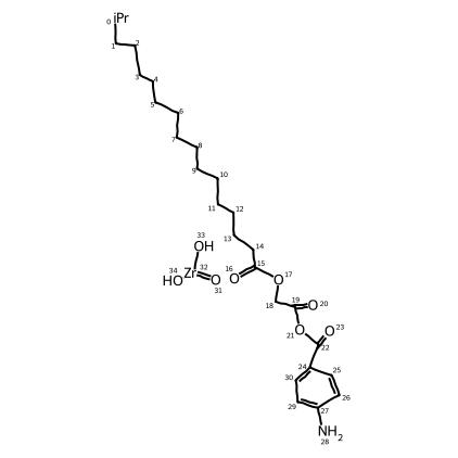 CC(C)CCCCCCCCCCCCCCC(=O)OCC(=O)OC(=O)c1ccc(N)cc1.[O]=[Zr]([OH])[OH]